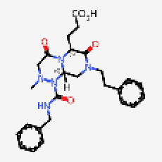 CN1CC(=O)N2[C@@H](CCC(=O)O)C(=O)N(CCc3ccccc3)C[C@@H]2N1C(=O)NCc1ccccc1